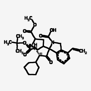 C=Cc1cccc2c1CN(C(=O)O)C2(C(=O)[C@@H](NC(=O)OC(C)(C)C)C1CCCCC1)C1CNC(C(=O)OC)C1